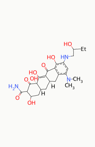 CCC(O)CNc1cc(N(C)C)c2c(c1O)C(=O)C1=C(O)[C@]3(O)C(=O)C(C(N)=O)C(O)C[C@@H]3C[C@@H]1C2